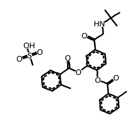 CS(=O)(=O)O.Cc1ccccc1C(=O)Oc1ccc(C(=O)CNC(C)(C)C)cc1OC(=O)c1ccccc1C